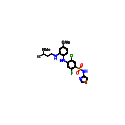 CCC(CCNc1cc(OC)ccc1Nc1cc(F)c(S(=O)(=O)Nc2cscn2)cc1Cl)NC